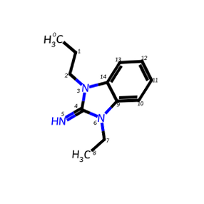 CCCn1c(=N)n(CC)c2ccccc21